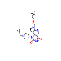 C[Si](C)(C)CCOCn1ccc2c1ncc1c(=O)[nH]c(=O)n(C3CCN(CC4CC4)CC3)c12